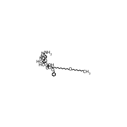 CCCCCCCCCOCCCCCCCCCC[C@H](COP(=O)(O)OC[C@H]1O[C@@](C#N)(c2ccc3c(N)ncnn23)C(O)[C@H]1O)OCc1ccccc1